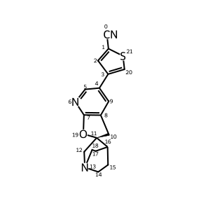 N#Cc1cc(-c2cnc3c(c2)C[C@@]2(CN4CCC2CC4)O3)cs1